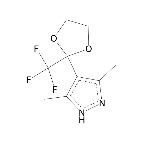 Cc1n[nH]c(C)c1C1(C(F)(F)F)OCCO1